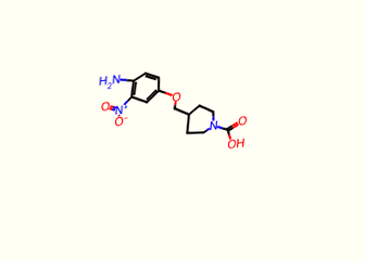 Nc1ccc(OCC2CCN(C(=O)O)CC2)cc1[N+](=O)[O-]